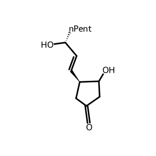 CCCCC[C@@H](O)/C=C/[C@@H]1CC(=O)CC1O